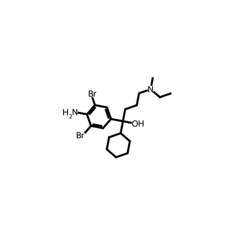 CCN(C)CCCC(O)(c1cc(Br)c(N)c(Br)c1)C1CCCCC1